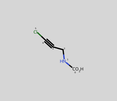 O=C(O)NCC#CCl